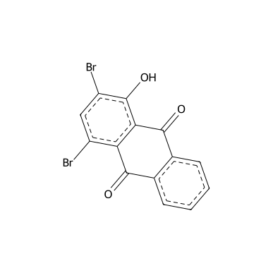 O=C1c2ccccc2C(=O)c2c(O)c(Br)cc(Br)c21